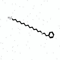 [CH2]CCCCCCCCCCCCCCSCCc1ccccc1